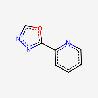 c1ccc(-c2nnco2)nc1